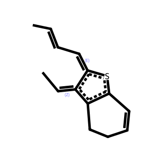 CC=C/C=c1/sc2c(/c1=C/C)CCC=C2